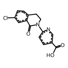 O=C(O)c1ccc(N2CCc3ccc(Cl)cc3C2=O)nc1